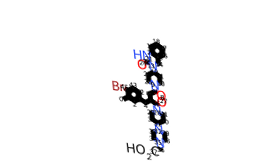 Cc1cc(CC(CC(=O)N2CCC(N3Cc4ccccc4NC3=O)CC2)C(=O)N2CCC(N3CCN(CC(=O)O)CC3)CC2)ccc1Br